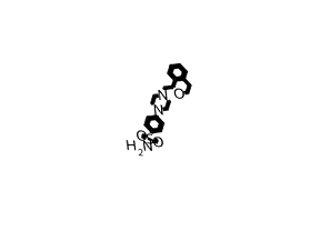 NS(=O)(=O)c1ccc(N2CCN(CC3OCCc4ccccc43)CC2)cc1